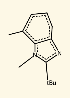 Cc1cccc2nc(C(C)(C)C)n(C)c12